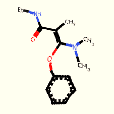 CCNC(=O)/C(C)=C(\Oc1ccccc1)N(C)C